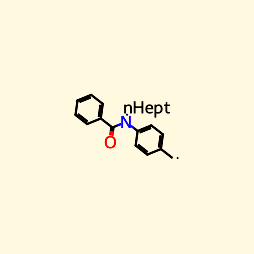 [CH2]c1ccc(N(CCCCCCC)C(=O)c2ccccc2)cc1